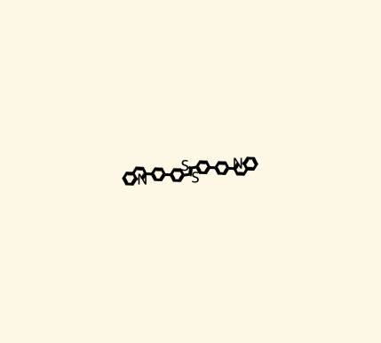 c1ccc2nc(-c3ccc(-c4ccc5c(c4)sc4c6ccc(-c7ccc(-c8ccc9ccccc9n8)cc7)cc6sc54)cc3)ccc2c1